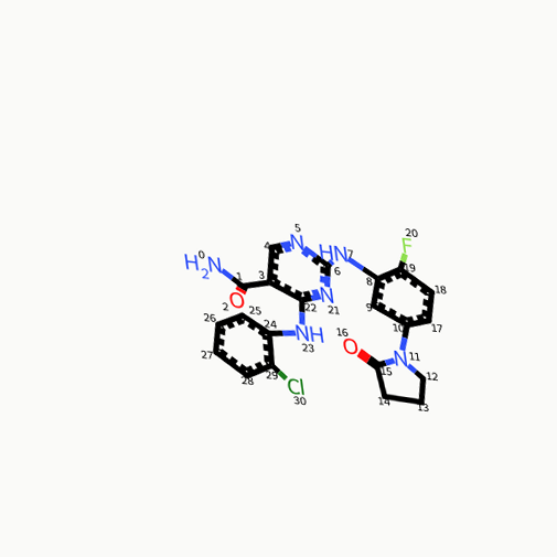 NC(=O)c1cnc(Nc2cc(N3CCCC3=O)ccc2F)nc1Nc1ccccc1Cl